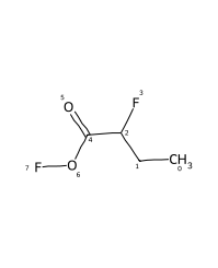 CCC(F)C(=O)OF